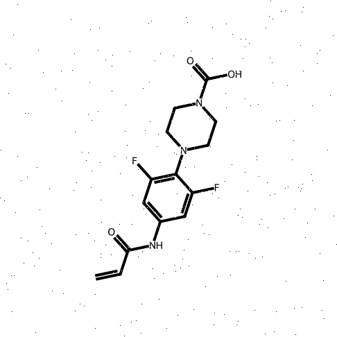 C=CC(=O)Nc1cc(F)c(N2CCN(C(=O)O)CC2)c(F)c1